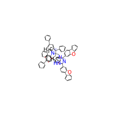 C/C=C(/c1ccccc1)C(Cc1ccccc1)(CN(C)/C(=N\C(=N)c1ccc2c(c1)oc1ccccc12)c1ccc2c(c1)oc1ccccc12)N(c1ccc(-c2ccccc2)cc1-c1ccccc1)c1ccc(-c2ccccc2)cc1-c1ccccc1